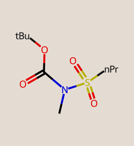 CCCS(=O)(=O)N(C)C(=O)OC(C)(C)C